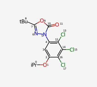 CC(C)Oc1cc(-n2nc(C(C)(C)C)oc2=O)c(Cl)c(Cl)c1Cl